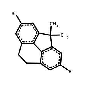 CC1(C)c2cc(Br)cc3c2-c2c(cc(Br)cc21)CC3